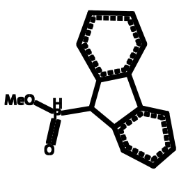 CO[PH](=O)C1c2ccccc2-c2ccccc21